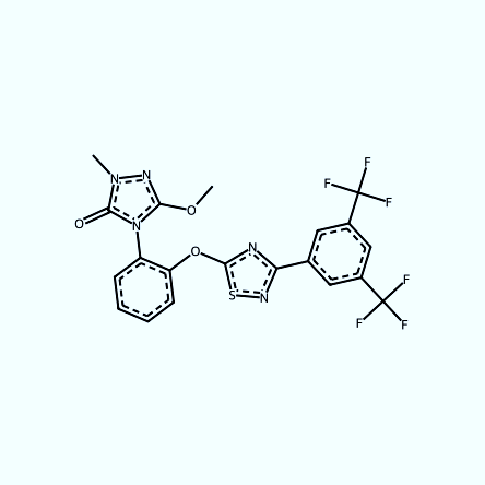 COc1nn(C)c(=O)n1-c1ccccc1Oc1nc(-c2cc(C(F)(F)F)cc(C(F)(F)F)c2)ns1